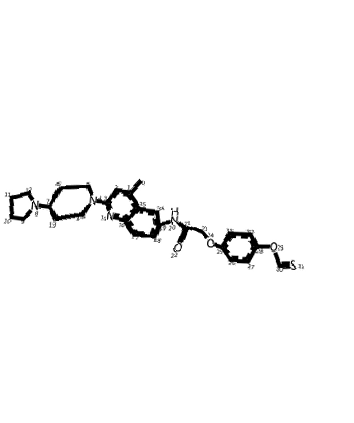 Cc1cc(N2CCC(N3CCCC3)CC2)nc2ccc(NC(=O)COc3ccc(OC=S)cc3)cc12